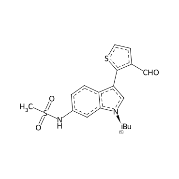 CC[C@H](C)n1cc(-c2sccc2C=O)c2ccc(NS(C)(=O)=O)cc21